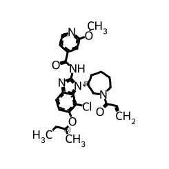 C=CC(=O)N1CCCC[C@@H](n2c(NC(=O)c3ccnc(OC)c3)nc3ccc(O[C@@H](C)CC)c(Cl)c32)C1